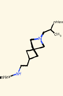 CCCCCCNCCC1CC2(C1)CN(CC(C)CCCCCC)C2